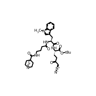 Cn1cc(C[C@H](NC(=O)CCCNC(=O)C23CCN(CC2)CC3)C(=O)N[C@@H](CCC(=O)C=[N+]=[N-])C(=O)OC(C)(C)C)c2ccccc21